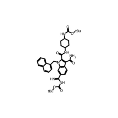 CC(C)(C)OC(=O)NC(=N)c1ccc2c(C(N)=O)c(C(=O)NC3CCC(NC(=O)OC(C)(C)C)CC3)n(Cc3cccc4ccccc34)c2c1